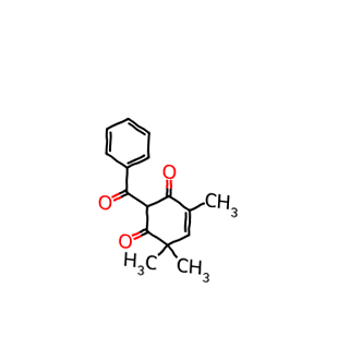 CC1=CC(C)(C)C(=O)C(C(=O)c2ccccc2)C1=O